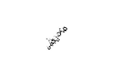 Nc1nc(N2CC[C@H]2C(=O)N2CCN(C(=O)Nc3ccccc3)CC2)nc2nc(-c3ccco3)nn12